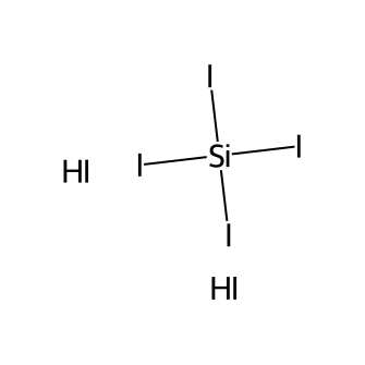 I.I.I[Si](I)(I)I